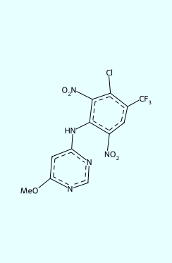 COc1cc(Nc2c([N+](=O)[O-])cc(C(F)(F)F)c(Cl)c2[N+](=O)[O-])ncn1